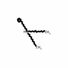 CCCCCCCCCCCC[SiH](CCCCCCCCCCCC)CCCCCCCCc1ccccc1